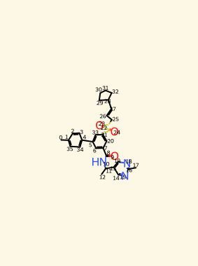 Cc1ccc(-c2cc(C(=O)NC(C)c3cnc(C)nc3)cc(S(=O)(=O)CC=CC3CCCC3)c2)cc1